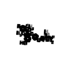 BC(B)(CCF)N1CC(Oc2ccc(Oc3c(C(=O)c4c(C)cc(F)cc4C)sc4cc(O)ccc34)cc2)C1